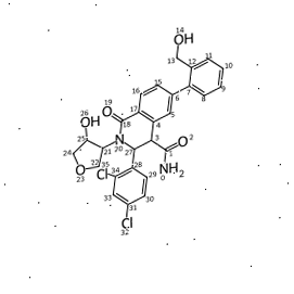 NC(=O)C1c2cc(-c3ccccc3CO)ccc2C(=O)N(C2COCC2O)C1c1ccc(Cl)cc1Cl